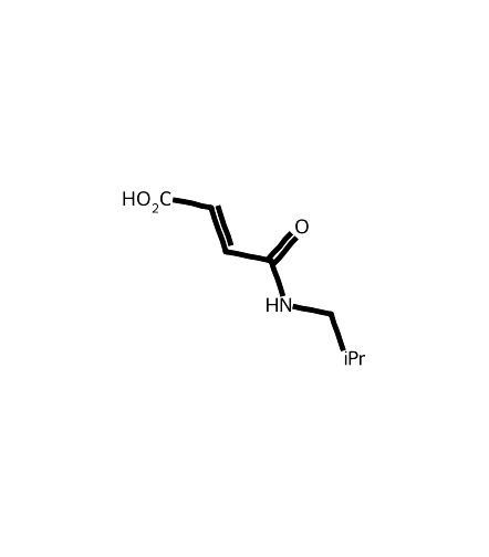 CC(C)CNC(=O)/C=C/C(=O)O